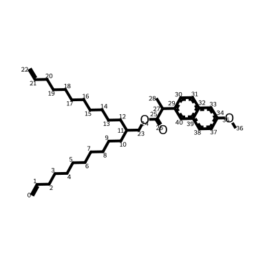 C=CCCCCCCCCCC(CCCCCCCCCC=C)COC(=O)C(C)c1ccc2cc(OC)ccc2c1